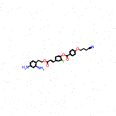 N#CCCCOc1ccc(C(=O)Oc2ccc(C=CC(=O)OCCc3ccc(N)cc3N)cc2F)cc1